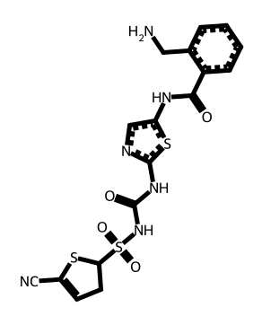 N#CC1=CCC(S(=O)(=O)NC(=O)Nc2ncc(NC(=O)c3ccccc3CN)s2)S1